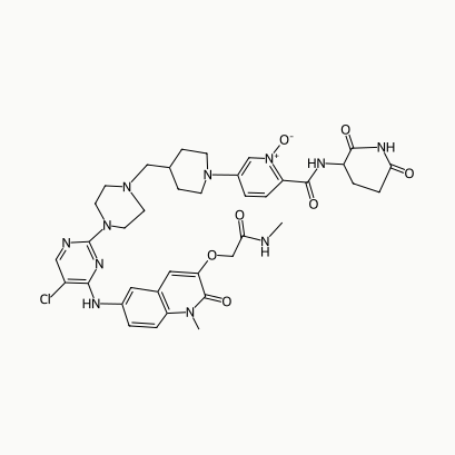 CNC(=O)COc1cc2cc(Nc3nc(N4CCN(CC5CCN(c6ccc(C(=O)NC7CCC(=O)NC7=O)[n+]([O-])c6)CC5)CC4)ncc3Cl)ccc2n(C)c1=O